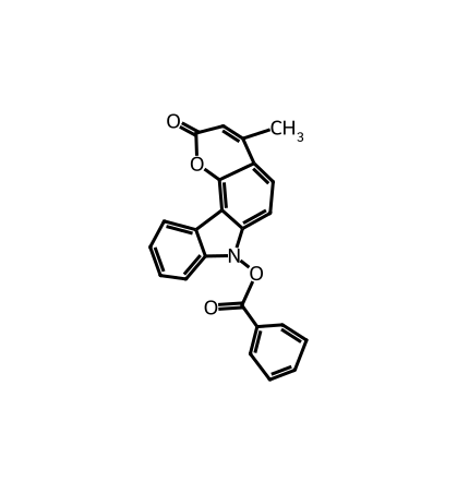 Cc1cc(=O)oc2c1ccc1c2c2ccccc2n1OC(=O)c1ccccc1